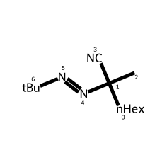 CCCCCCC(C)(C#N)/N=N/C(C)(C)C